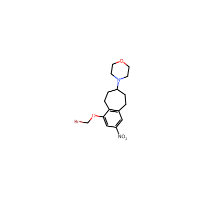 O=[N+]([O-])c1cc2c(c(OCBr)c1)CCC(N1CCOCC1)CC2